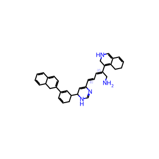 NC/C(=C\C=C\C1=CC(C2C=C(C3=CC=C4C=CC=CC4C3)C=CC2)NC=N1)C1=C2CCC=CC2=CNC1